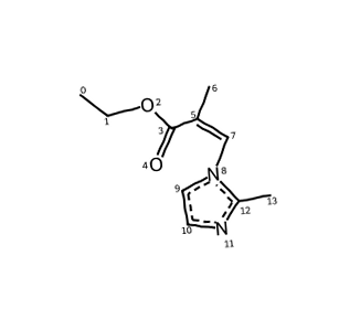 CCOC(=O)C(C)=Cn1ccnc1C